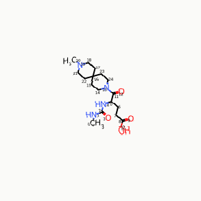 CNC(=O)NC(CCC(=O)O)C(=O)N1CCC2(CCN(C)CC2)CC1